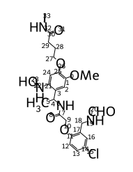 COc1cc(C(C)NC(=O)COc2ccc(Cl)cc2CNC=O)c(NO)cc1OCCCC(=O)NI